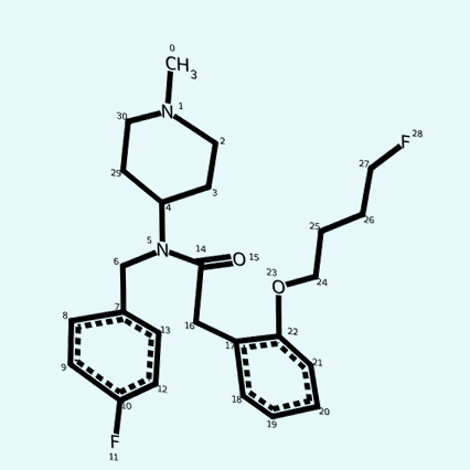 CN1CCC(N(Cc2ccc(F)cc2)C(=O)Cc2ccccc2OCCCCF)CC1